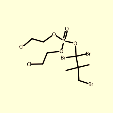 CC(C)(CBr)C(Br)(Br)OP(=O)(OCCCl)OCCCl